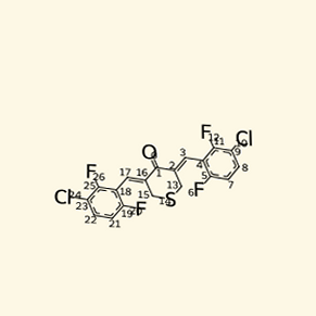 O=C1C(=Cc2c(F)ccc(Cl)c2F)CSCC1=Cc1c(F)ccc(Cl)c1F